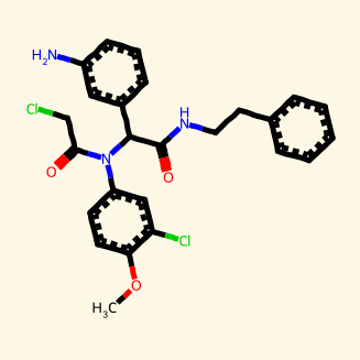 COc1ccc(N(C(=O)CCl)C(C(=O)NCCc2ccccc2)c2cccc(N)c2)cc1Cl